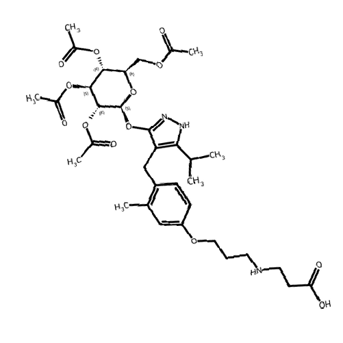 CC(=O)OC[C@H]1O[C@@H](Oc2n[nH]c(C(C)C)c2Cc2ccc(OCCCNCCC(=O)O)cc2C)[C@H](OC(C)=O)[C@@H](OC(C)=O)[C@@H]1OC(C)=O